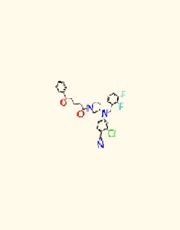 N#Cc1ccc(N(Cc2cccc(F)c2F)[C@H]2CCN(C(=O)CCCC(=O)c3ccccc3)C2)cc1Cl